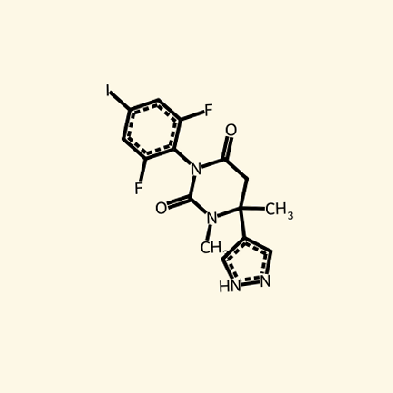 CN1C(=O)N(c2c(F)cc(I)cc2F)C(=O)CC1(C)c1cn[nH]c1